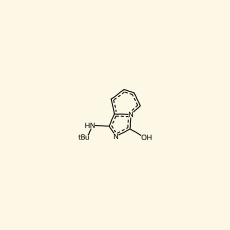 CC(C)(C)Nc1nc(O)n2ccccc12